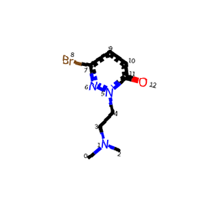 CN(C)CCn1nc(Br)ccc1=O